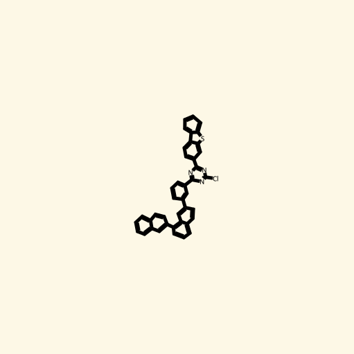 Clc1nc(-c2cccc(-c3ccc4cccc(-c5ccc6ccccc6c5)c4c3)c2)nc(-c2ccc3c(c2)sc2ccccc23)n1